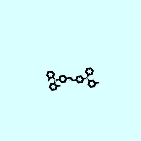 Cc1cccc(N(c2ccccc2)c2ccc(/C=C/c3ccc(N(c4ccccc4C)c4ccccc4C)cc3)cc2)c1